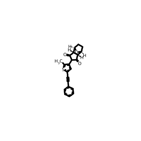 Cc1sc(C#Cc2ccccc2)cc1C1C(=O)[C@@H]2[C@H](C1=O)[C@H]1CC[C@@H]2O1